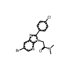 CN(C)C(=O)Cn1c(-c2ccc(Cl)cc2)nc2cc(Br)cnc21